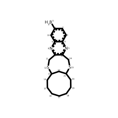 Bc1ccc2nc3c(nc2c1)CSC1CCCCCCCC(C1)SC3